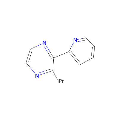 CC(C)c1nccnc1-c1ccccn1